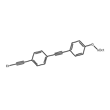 CCC#Cc1ccc(C#Cc2ccc(OCCCCCCCC)cc2)cc1